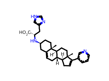 C[C@]12CC[C@H](N[C@@H](Cc3c[nH]cn3)C(=O)O)CC1=CC[C@@H]1[C@@H]2CC[C@]2(C)C(c3cccnc3)=CC[C@@H]12